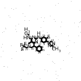 CCNc1nc(Nc2ccc(-n3cnc(C)n3)c(F)c2)nc2c1CN(CC(F)(F)F)CC2c1ccccc1